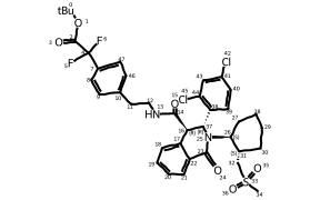 CC(C)(C)OC(=O)C(F)(F)c1ccc(CCNC(=O)[C@@H]2c3ccccc3C(=O)N([C@H]3CCCC[C@@H]3CS(C)(=O)=O)[C@H]2c2ccc(Cl)cc2Cl)cc1